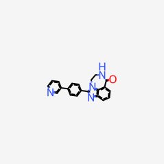 O=C1NCCn2c(-c3ccc(-c4cccnc4)cc3)nc3cccc1c32